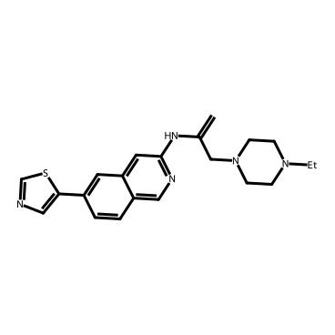 C=C(CN1CCN(CC)CC1)Nc1cc2cc(-c3cncs3)ccc2cn1